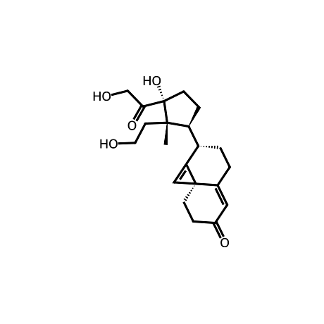 C[C@]1(CCO)[C@H]([C@@H]2CCC3=CC(=O)CC[C@@]34C=C24)CC[C@]1(O)C(=O)CO